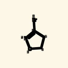 BrC1=NOCC1